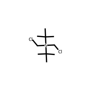 CC(C)(C)S(CCl)(CCl)C(C)(C)C